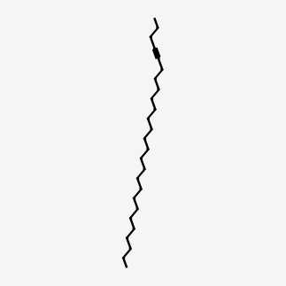 [CH2]CCC#CCCCCCCCCCCCCCCCCCCCC[CH2]